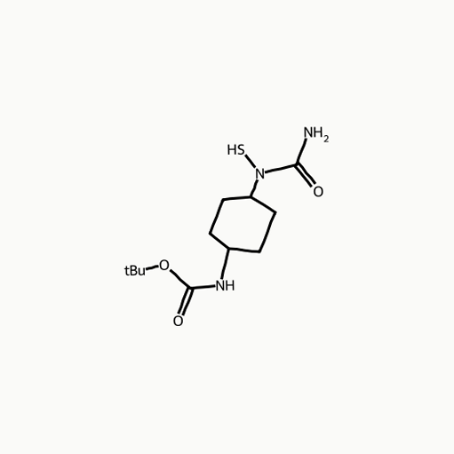 CC(C)(C)OC(=O)NC1CCC(N(S)C(N)=O)CC1